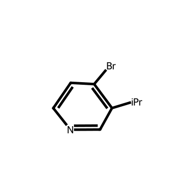 CC(C)c1cnccc1Br